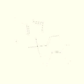 CCCCCC(P)(c1cccc(CCCC)c1CCCC)c1cccc(CCCC)c1CCCC